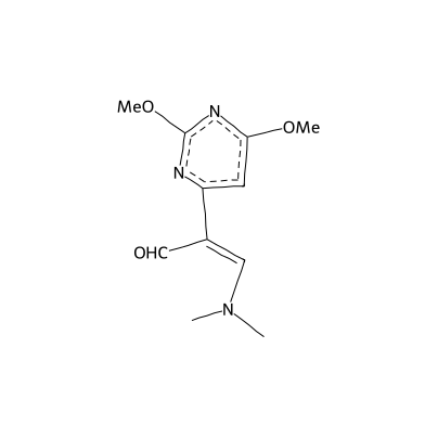 COc1cc(C(C=O)=CN(C)C)nc(OC)n1